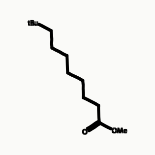 COC(=O)CCCCCCCC(C)(C)C